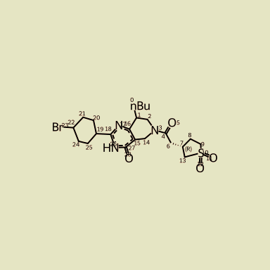 CCCCC1CN(C(=O)C[C@@H]2CCS(=O)(=O)C2)Cc2c1nc(C1CCC(Br)CC1)[nH]c2=O